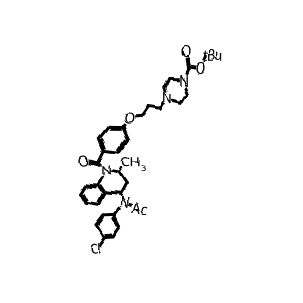 CC(=O)N(c1ccc(Cl)cc1)[C@@H]1C[C@H](C)N(C(=O)c2ccc(OCCCN3CCN(C(=O)OC(C)(C)C)CC3)cc2)c2ccccc21